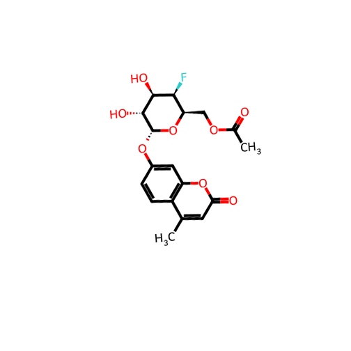 CC(=O)OC[C@H]1O[C@H](Oc2ccc3c(C)cc(=O)oc3c2)[C@H](O)[C@@H](O)[C@H]1F